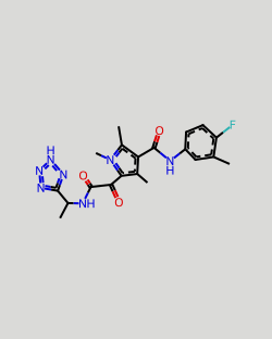 Cc1cc(NC(=O)c2c(C)c(C(=O)C(=O)NC(C)c3nn[nH]n3)n(C)c2C)ccc1F